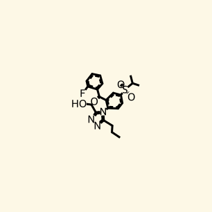 CCCc1nnc(CO)n1-c1ccc(S(=O)(=O)C(C)C)cc1C(=O)c1ccccc1F